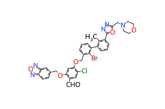 Cc1c(-c2nnc(CN3CCOCC3)o2)cccc1-c1cccc(COc2cc(OCc3ccc4nonc4c3)c(C=O)cc2Cl)c1Br